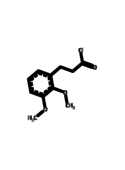 COc1cccc(CCC(=O)Cl)c1OC